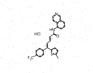 Cc1ccc(/C(=C\C=C\C(=O)Nc2cccc3cnccc23)c2ccc(C(F)(F)F)cc2)s1.Cl